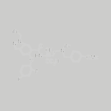 COc1ccc(CN(CC[C@](C)(NC(=O)c2cc3c(cnn3CC(C)C)cc2Oc2ccc(F)cc2F)C(=O)O)C(C)C)cc1